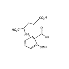 CNc1ccccc1[C](=O)[Na].NC(CCC(=O)O)C(=O)O